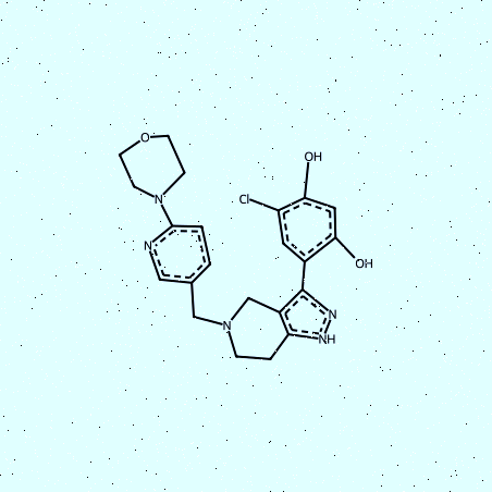 Oc1cc(O)c(-c2n[nH]c3c2CN(Cc2ccc(N4CCOCC4)nc2)CC3)cc1Cl